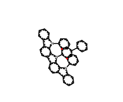 c1ccc(-c2ccc(-n3c4c(ccc5c6ccccc6n(-c6ccccc6)c54)c4ccc5c6ccccc6n(-c6ccccc6)c5c43)cc2)cc1